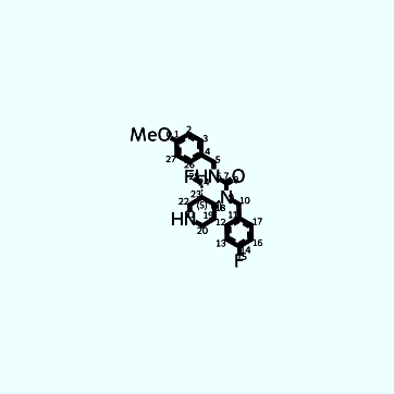 COc1ccc(CNC(=O)N(Cc2ccc(F)cc2)[C@@H]2CCNC[C@@H]2CF)cc1